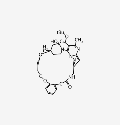 Cc1nc2cc3nn2c(c1[C@H](OC(C)(C)C)C(=O)O)N1CCC(C)(CC1)OC=CCCOc1ccccc1CC(=O)NC3